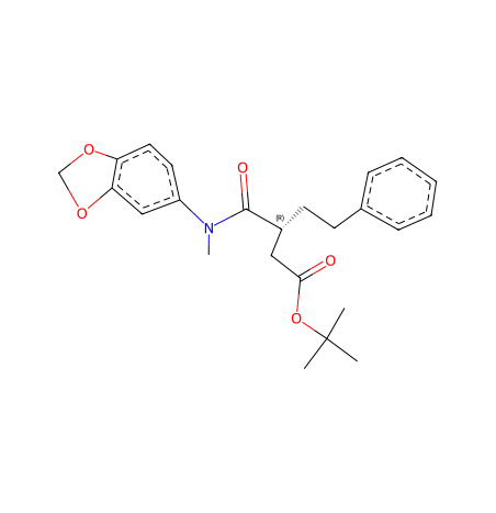 CN(C(=O)[C@H](CCc1ccccc1)CC(=O)OC(C)(C)C)c1ccc2c(c1)OCO2